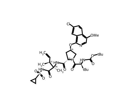 C=C[C@H](C)[C@@](C)(NC(=O)[C@@H]1C[C@@H](Oc2ncc(OC)c3ccc(Cl)cc23)CN1C(=O)[C@@H](NC(=O)OC(C)(C)C)C(C)(C)C)C(=O)NS(=O)(=O)C1CC1